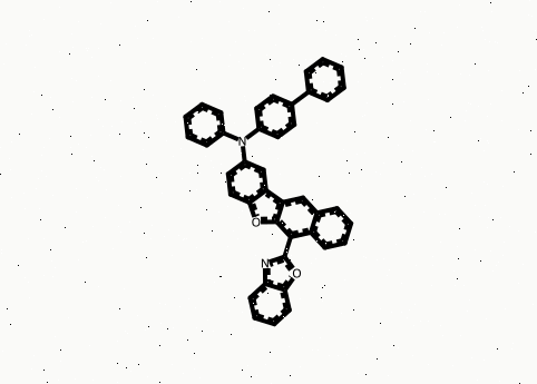 c1ccc(-c2ccc(N(c3ccccc3)c3ccc4oc5c(-c6nc7ccccc7o6)c6ccccc6cc5c4c3)cc2)cc1